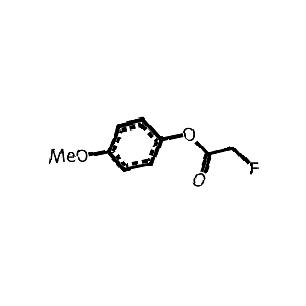 COc1ccc(OC(=O)CF)cc1